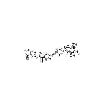 C[C@@H](O)[C@H](NC(=O)c1ccc(C#Cc2ccc(NC(=O)CNCc3ccccc3Cl)cc2)cc1)C(=O)NO